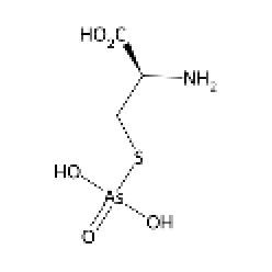 N[C@@H](CS[As](=O)(O)O)C(=O)O